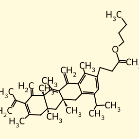 C=C(CCc1cc(C(C)C)c2c(c1C)C(=C)C1=C(C)[C@@]3(C)C(=C)C(C(=C)C)=C(C)C[C@@]3(C)C[C@@]1(C)C2)OCCCC